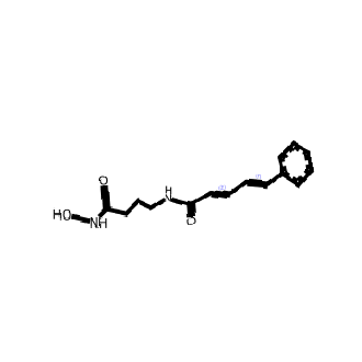 O=C(/C=C/C=C/c1ccccc1)NCCCC(=O)NO